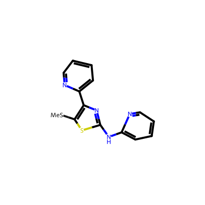 CSc1sc(Nc2ccccn2)nc1-c1ccccn1